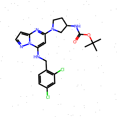 CC(C)(C)OC(=O)NC1CCN(c2cc(NCc3ccc(Cl)cc3Cl)n3nccc3n2)C1